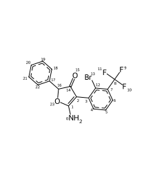 NC1=C(c2cccc(C(F)(F)F)c2Br)C(=O)C(c2ccccc2)O1